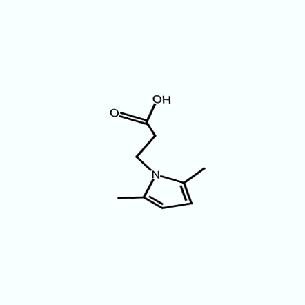 Cc1ccc(C)n1CCC(=O)O